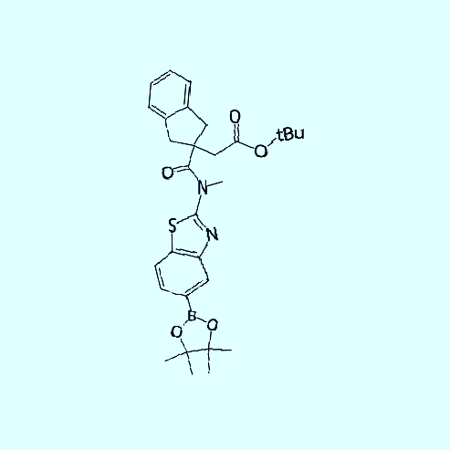 CN(C(=O)C1(CC(=O)OC(C)(C)C)Cc2ccccc2C1)c1nc2cc(B3OC(C)(C)C(C)(C)O3)ccc2s1